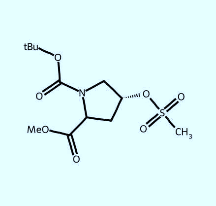 COC(=O)C1C[C@@H](OS(C)(=O)=O)CN1C(=O)OC(C)(C)C